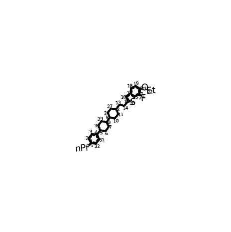 CCCc1ccc(C2CCC(C3CCC(CCc4cc5ccc(OCC)c(F)c5s4)CC3)CC2)cc1